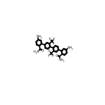 NC(=O)c1ccc(N)cc1-c1ccc(-c2ccc(-c3cc(N)ccc3C(N)=O)cc2C(F)(F)F)c(C(F)(F)F)c1